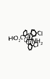 Cc1c(C(=O)O)cccc1N1C(=O)C(N)(c2ccccc2Cl)c2cc(Cl)ccc21